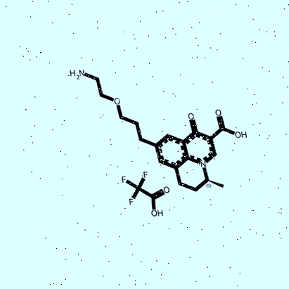 C[C@H]1CCc2cc(CCCOCCN)cc3c(=O)c(C(=O)O)cn1c23.O=C(O)C(F)(F)F